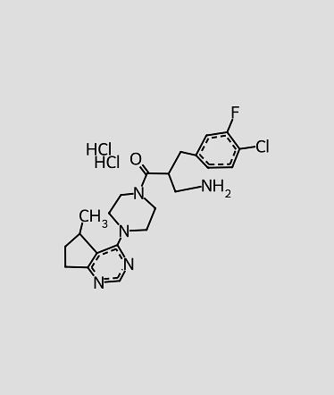 CC1CCc2ncnc(N3CCN(C(=O)C(CN)Cc4ccc(Cl)c(F)c4)CC3)c21.Cl.Cl